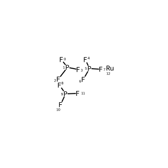 FP(F)F.FP(F)F.FP(F)F.[Ru]